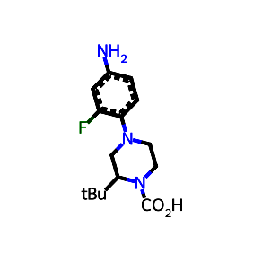 CC(C)(C)C1CN(c2ccc(N)cc2F)CCN1C(=O)O